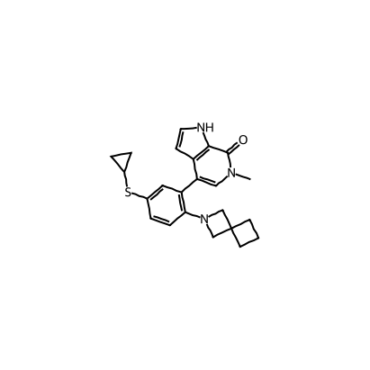 Cn1cc(-c2cc(SC3CC3)ccc2N2CC3(CCC3)C2)c2cc[nH]c2c1=O